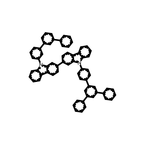 c1ccc(-c2cccc(-c3cccc(-n4c5ccccc5c5ccc(-c6ccc7c8ccccc8n(-c8ccc(-c9cc(-c%10ccccc%10)cc(-c%10ccccc%10)c9)cc8)c7c6)cc54)c3)c2)cc1